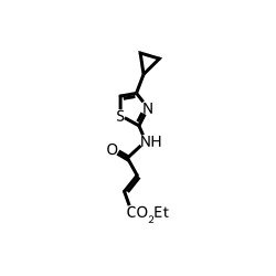 CCOC(=O)/C=C/C(=O)Nc1nc(C2CC2)cs1